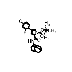 CC(C)(C)OC(=O)n1cc(-c2ccc(O)cc2F)cc1C(=O)NC1C2CC3CC(C2)CC1C3